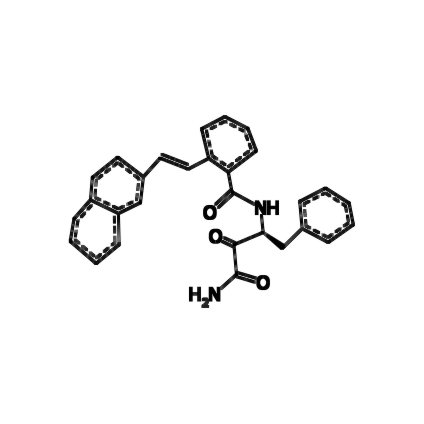 NC(=O)C(=O)[C@H](Cc1ccccc1)NC(=O)c1ccccc1C=Cc1ccc2ccccc2c1